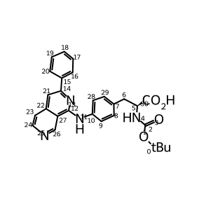 CC(C)(C)OC(=O)N[C@@H](Cc1ccc(Nc2nc(-c3ccccc3)cc3ccncc23)cc1)C(=O)O